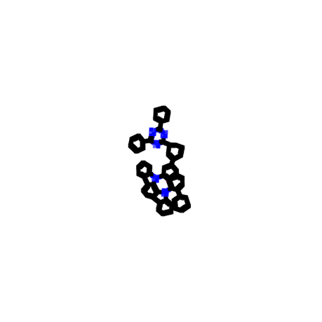 c1ccc(-c2nc(-c3ccccc3)nc(-c3cccc(-c4cccc(-n5c6ccccc6c6ccc7c8ccccc8n(-c8ccccc8-c8ccccc8)c7c65)c4)c3)n2)cc1